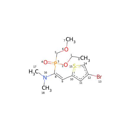 CCOP(=O)(COC)C(=Cc1cc(Br)cs1)N(C)C